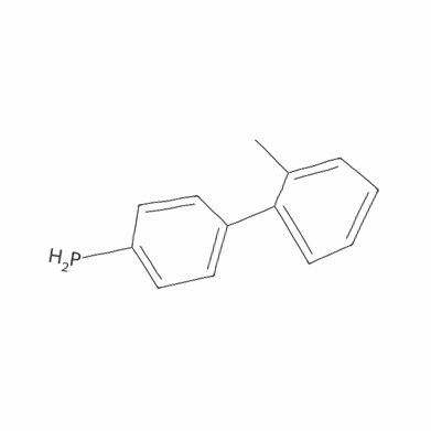 Cc1ccccc1-c1ccc(P)cc1